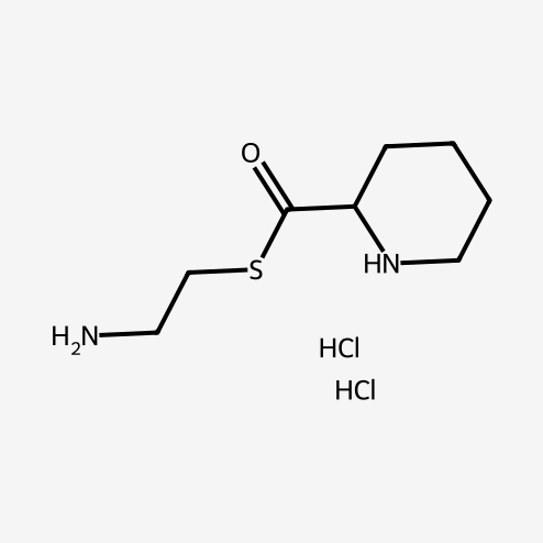 Cl.Cl.NCCSC(=O)C1CCCCN1